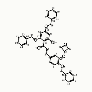 O=C(/C=C/c1ccc(OCc2ccccc2)c(OC2COC2)c1)c1c(O)cc(OCc2ccccc2)cc1OCc1ccccc1